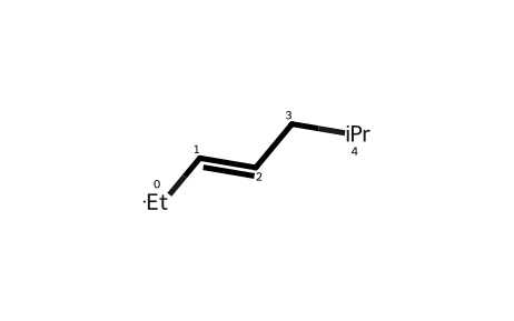 C[CH]/C=C/CC(C)C